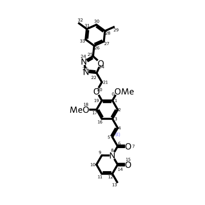 COc1cc(/C=C/C(=O)N2CCC=C(C)C2=O)cc(OC)c1OCc1nnc(-c2cc(C)cc(C)c2)o1